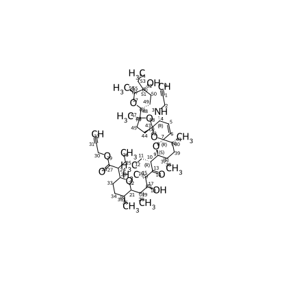 C#CCN[C@@H]1C=C[C@]2(O[C@H]([C@@H](CC)C(=O)[C@@H](C)[C@@H](O)[C@H](C)C3OC(C(CC)C(=O)OCC#C)CC[C@@H]3C)[C@@H](C)C[C@H]2C)O[C@@]12CC[C@@](C)([C@H]1CC[C@](O)(CC)[C@H](C)O1)O2